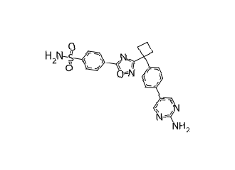 Nc1ncc(-c2ccc(C3(c4noc(-c5ccc(S(N)(=O)=O)cc5)n4)CCC3)cc2)cn1